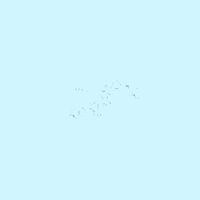 COCCOc1nc(Nc2ccc(CN3CCN(C)CC3)cc2)nc2[nH]cc(-c3ccc(OCc4ccc(C)nc4)c(OC)c3)c12